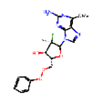 COc1nc(N)nc2c1ncn2C1O[C@H](COOc2ccccc2)[C@@H](O)[C@@]1(C)F